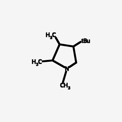 CC1C(C)N(C)CC1C(C)(C)C